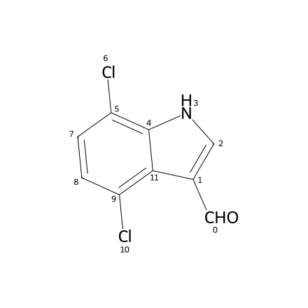 O=Cc1c[nH]c2c(Cl)ccc(Cl)c12